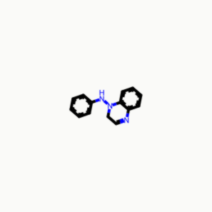 C1=Nc2ccccc2N(Nc2ccccc2)C1